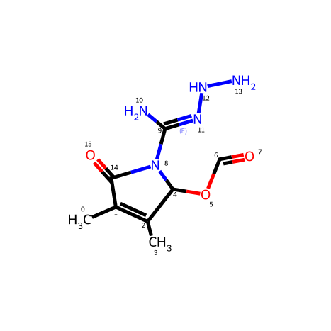 CC1=C(C)C(OC=O)N(/C(N)=N/NN)C1=O